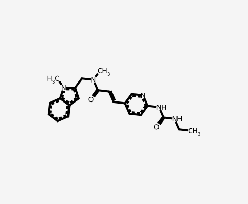 CCNC(=O)Nc1ccc(/C=C/C(=O)N(C)Cc2cc3ccccc3n2C)cn1